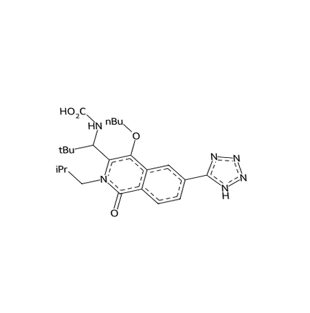 CCCCOc1c(C(NC(=O)O)C(C)(C)C)n(CC(C)C)c(=O)c2ccc(-c3nnn[nH]3)cc12